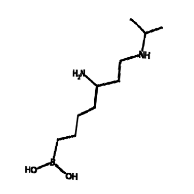 CC(C)NCCC(N)CCCCB(O)O